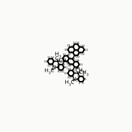 CN1c2ccccc2C(C)(C)c2c(-c3cccc4c(-c5cc6cccc7ccc8cccc5c8c76)c5cccc(-c6cccc7c6C(C)(C)c6ccccc6N7C)c5cc34)cccc21